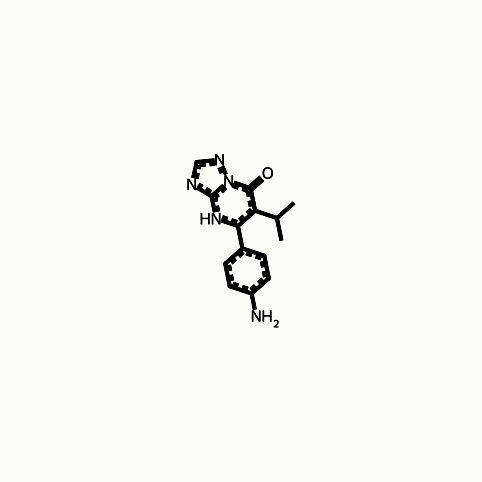 CC(C)c1c(-c2ccc(N)cc2)[nH]c2ncnn2c1=O